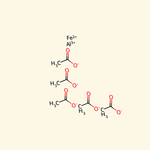 CC(=O)[O-].CC(=O)[O-].CC(=O)[O-].CC(=O)[O-].CC(=O)[O-].[Al+3].[Fe+2]